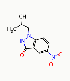 CC(C)Cn1[nH]c(=O)c2cc([N+](=O)[O-])ccc21